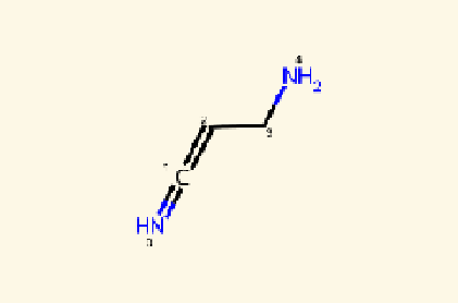 N=C=CCN